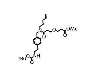 C=CCCCN(Cc1ccc(CCNC(=O)OC(C)(C)C)cc1)C(=O)CCOCCC(=O)OC